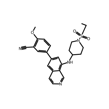 CCS(=O)(=O)N1CCC(Nc2cc(-c3ccc(OC)c(C#N)c3)cc3ccncc23)CC1